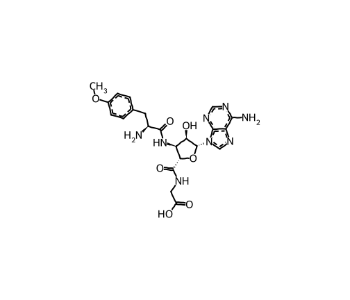 COc1ccc(C[C@H](N)C(=O)N[C@H]2[C@@H](O)[C@H](n3cnc4c(N)ncnc43)O[C@@H]2C(=O)NCC(=O)O)cc1